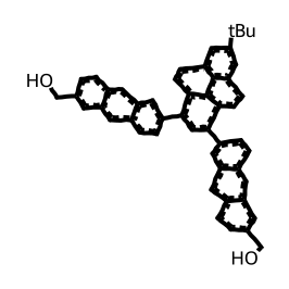 CC(C)(C)c1cc2ccc3c(-c4ccc5cc6cc(CO)ccc6cc5c4)cc(-c4ccc5cc6cc(CO)ccc6cc5c4)c4ccc(c1)c2c34